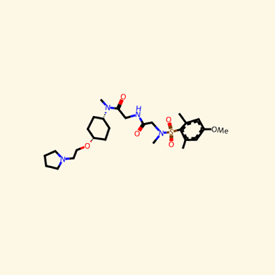 COc1cc(C)c(S(=O)(=O)N(C)CC(=O)NCC(=O)N(C)[C@H]2CC[C@@H](OCCN3CCCC3)CC2)c(C)c1